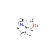 CCN1CC=C(C)[C@@]12CCOC2